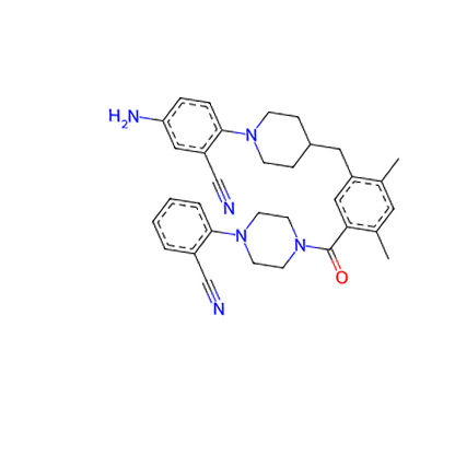 Cc1cc(C)c(C(=O)N2CCN(c3ccccc3C#N)CC2)cc1CC1CCN(c2ccc(N)cc2C#N)CC1